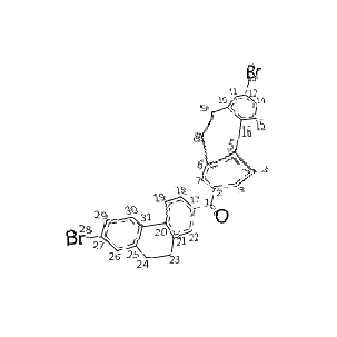 O=C(c1ccc2c(c1)CCc1cc(Br)ccc1-2)c1ccc2c(c1)CCc1cc(Br)ccc1-2